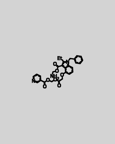 CCc1c(C(=O)OCN)c2c(OCC(=O)OCOC(=O)c3cccnc3)cccc2n1Cc1ccccc1